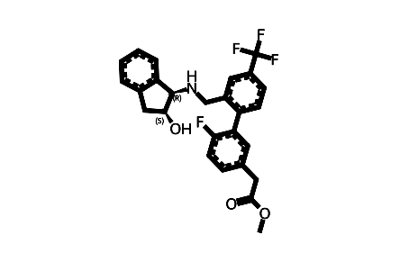 COC(=O)Cc1ccc(F)c(-c2ccc(C(F)(F)F)cc2CN[C@@H]2c3ccccc3C[C@@H]2O)c1